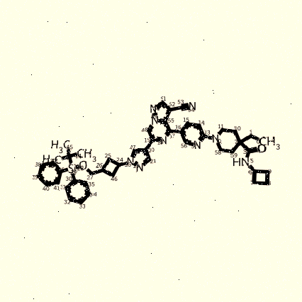 CCC1(C(=O)NC2CCC2)CCN(c2ccc(-c3nc(-c4cnn(C5CC(CO[Si](c6ccccc6)(c6ccccc6)C(C)(C)C)C5)c4)cn4ncc(C#N)c34)cn2)CC1